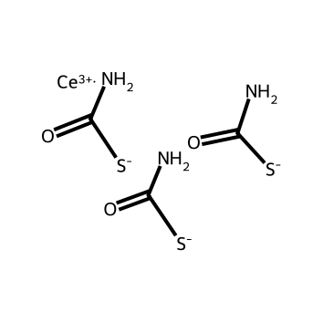 NC(=O)[S-].NC(=O)[S-].NC(=O)[S-].[Ce+3]